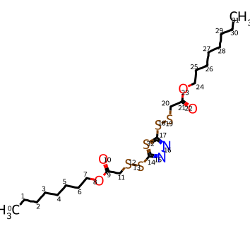 CCCCCCCCOC(=O)CSSc1nnc(SSCC(=O)OCCCCCCCC)s1